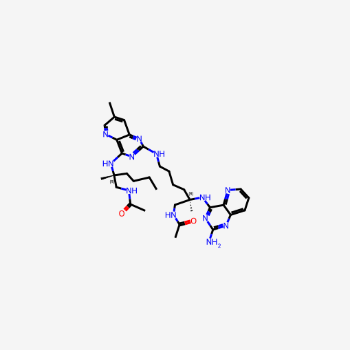 CCCC[C@](C)(CNC(C)=O)Nc1nc(NCCCC[C@](C)(CNC(C)=O)Nc2nc(N)nc3cccnc23)nc2cc(C)cnc12